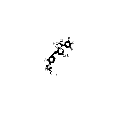 Cc1cn(-c2ccc(C=C3CC(C)CN([C@H](c4cc(F)c(F)c(F)c4)[C@@H](C)O)C3=O)cc2F)cn1